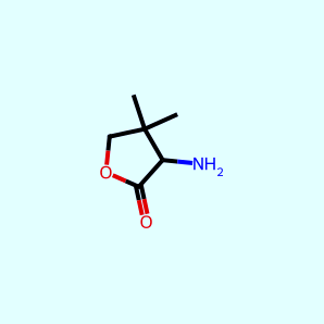 CC1(C)COC(=O)C1N